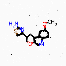 COc1ccc2ncc3c(c2c1)CC(c1csc(N)n1)CO3